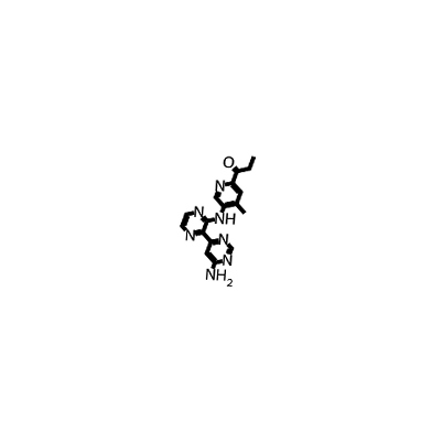 CCC(=O)c1cc(C)c(Nc2nccnc2-c2cc(N)ncn2)cn1